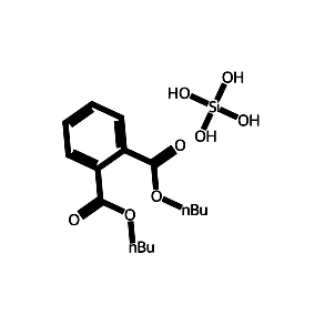 CCCCOC(=O)c1ccccc1C(=O)OCCCC.O[Si](O)(O)O